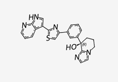 O[C@@]1(c2cccc(-c3csc(-c4c[nH]c5ncccc45)n3)c2)CCCn2ccnc21